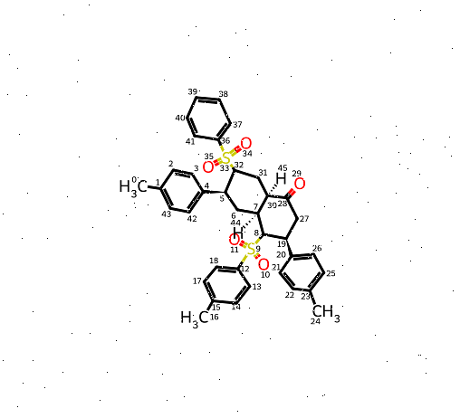 Cc1ccc([C@@H]2C[C@@H]3C(S(=O)(=O)c4ccc(C)cc4)[C@H](c4ccc(C)cc4)CC(=O)[C@@H]3CC2S(=O)(=O)c2ccccc2)cc1